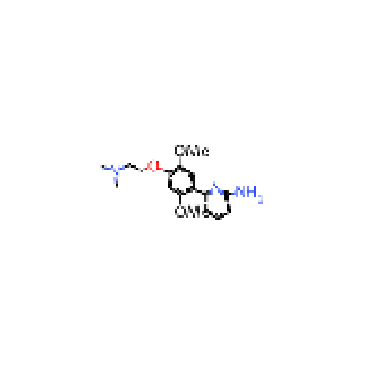 COc1cc(-c2cccc(N)n2)c(OC)cc1OCCN(C)C